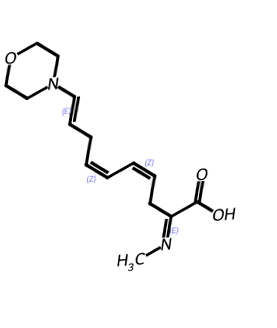 C/N=C(\C/C=C\C=C/C/C=C/N1CCOCC1)C(=O)O